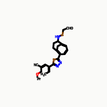 C/C=C(\C=C(\C#N)COC(C)C)c1nnc(C2=C3CCC(NSCC=O)C(=CC=C2)C3)s1